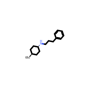 CC(C)(C)[C@H]1CC[C@H](NCCCc2ccccc2)CC1